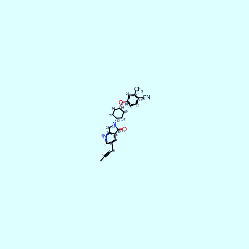 CC#CCc1cnc2c(c1)C(=O)N([C@H]1CC[C@H](Oc3ccc(C#N)c(C(F)(F)F)c3)CC1)C2